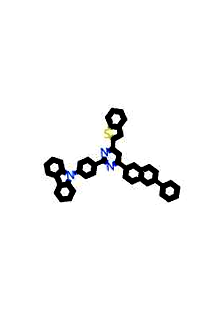 c1ccc(-c2ccc3cc(-c4cc(-c5cc6ccccc6s5)nc(-c5ccc(-n6c7ccccc7c7ccccc76)cc5)n4)ccc3c2)cc1